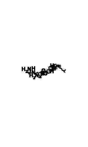 CC(C)CCC[C@@H](C)[C@H]1CC[C@H]2[C@@H]3CC=C4C[C@@H](OC(=O)N(CCCCNCC5(CN)CC5)CC5(CN)CC5)CC[C@]4(C)[C@H]3CC[C@]12C